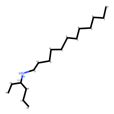 [CH2]CCCCCCCCCCCNC(CC)CCC